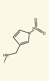 O=[SH](=O)n1ccc(CNI)c1